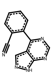 N#Cc1ccccc1-c1ncnc2[nH]ncc12